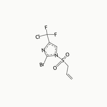 C=CCS(=O)(=O)n1cc(C(F)(F)Cl)nc1Br